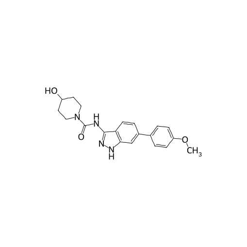 COc1ccc(-c2ccc3c(NC(=O)N4CCC(O)CC4)n[nH]c3c2)cc1